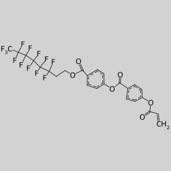 C=CC(=O)Oc1ccc(C(=O)Oc2ccc(C(=O)OCCC(F)(F)C(F)(F)C(F)(F)C(F)(F)C(F)(F)C(F)(F)F)cc2)cc1